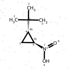 CC(C)(C)[C@H]1C[C@@H]1[N+](=O)O